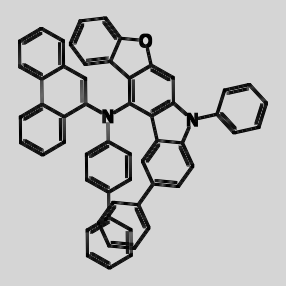 c1ccc(-c2ccc(N(c3cc4ccccc4c4ccccc34)c3c4c(cc5c3c3cc(-c6ccccc6)ccc3n5-c3ccccc3)oc3ccccc34)cc2)cc1